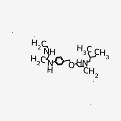 C=CNCC(=C)Nc1ccc(COCCC(=C)NCC(CC)CC)cc1